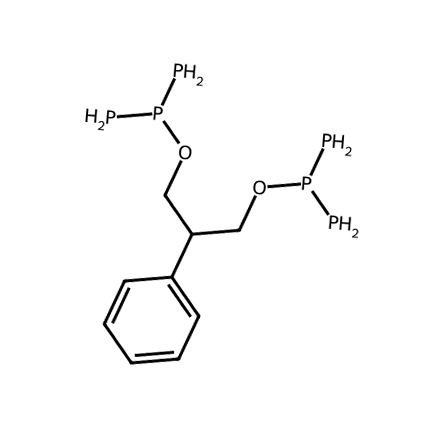 PP(P)OCC(COP(P)P)c1ccccc1